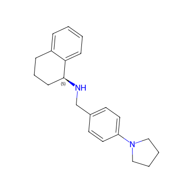 c1ccc2c(c1)CCC[C@@H]2NCc1ccc(N2CCCC2)cc1